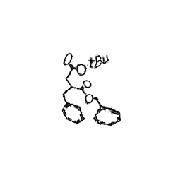 CC(C)(C)OC(=O)CC(Cc1ccccc1)C(=O)OCc1ccccc1